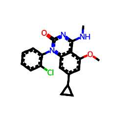 CNc1nc(=O)n(-c2ccccc2Cl)c2cc(C3CC3)cc(OC)c12